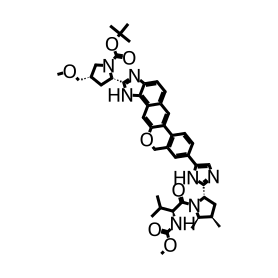 COC[C@H]1C[C@@H](c2nc3ccc4cc5c(cc4c3[nH]2)OCc2cc(-c3cnc([C@@H]4C[C@@H](C)[C@@H](C)N4C(=O)[C@@H](NC(=O)OC)C(C)C)[nH]3)ccc2-5)N(C(=O)OC(C)(C)C)C1